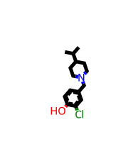 CC(C)C1CCN(Cc2ccc(O)c(Cl)c2)CC1